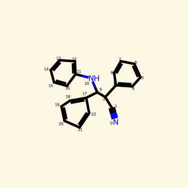 N#CC(c1ccccc1)C(Nc1ccccc1)c1ccccc1